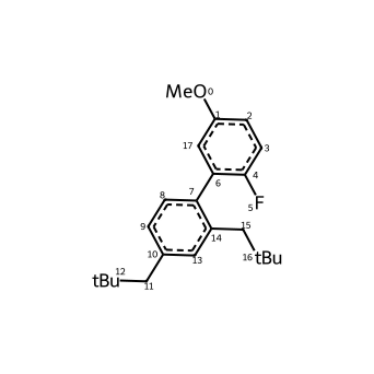 COc1ccc(F)c(-c2ccc(CC(C)(C)C)cc2CC(C)(C)C)c1